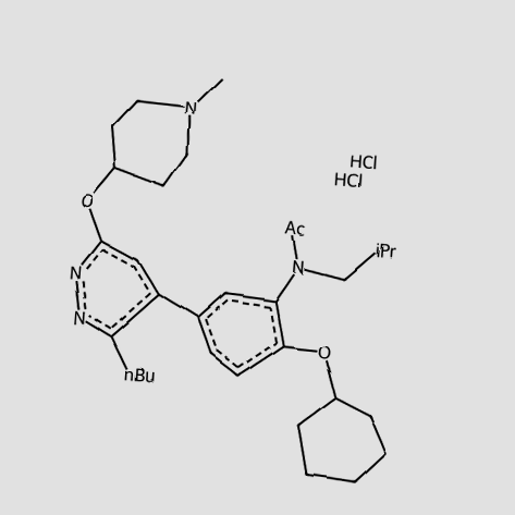 CCCCc1nnc(OC2CCN(C)CC2)cc1-c1ccc(OC2CCCCC2)c(N(CC(C)C)C(C)=O)c1.Cl.Cl